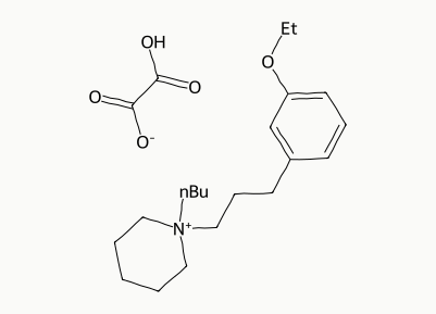 CCCC[N+]1(CCCc2cccc(OCC)c2)CCCCC1.O=C([O-])C(=O)O